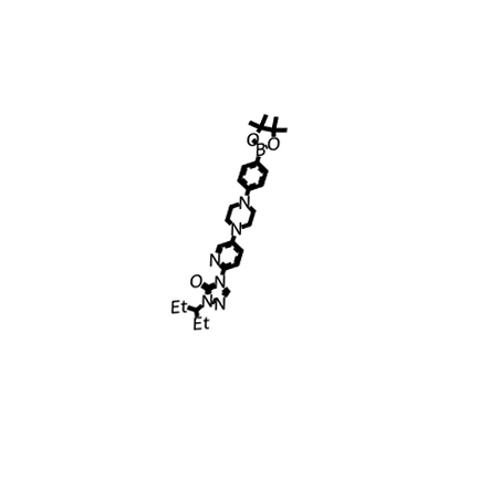 CCC(CC)n1ncn(-c2ccc(N3CCN(c4ccc(B5OC(C)(C)C(C)(C)O5)cc4)CC3)cn2)c1=O